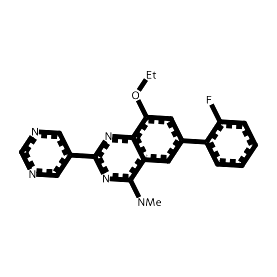 CCOc1cc(-c2ccccc2F)cc2c(NC)nc(-c3cncnc3)nc12